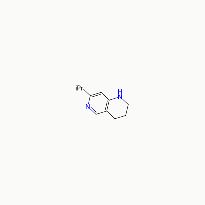 CC(C)c1cc2c(cn1)CCCN2